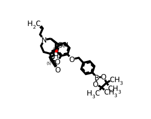 C=CCN1CCC23c4c5ccc(OCc6ccc(B7OC(C)(C)C(C)(C)O7)cc6)c4O[C@@H]2C(=O)CC[C@@]3(O)CC51